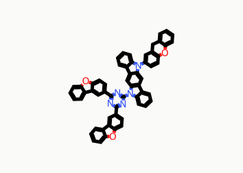 c1ccc2c(c1)Cc1cc(-n3c4ccccc4c4cc5c(cc43)c3ccccc3n5-c3nc(-c4ccc5oc6ccccc6c5c4)nc(-c4ccc5oc6ccccc6c5c4)n3)ccc1O2